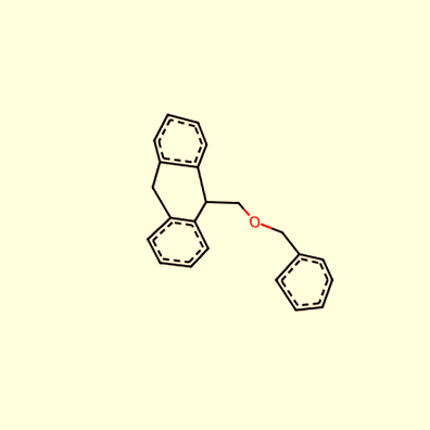 c1ccc(COCC2c3ccccc3Cc3ccccc32)cc1